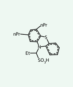 CCCc1cc(CCC)c2c(c1)N(C(CC)S(=O)(=O)O)c1ccccc1S2